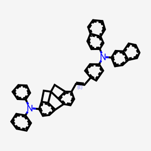 C(=C\c1ccc2c3c1CC31Cc3c(N(c4ccccc4)c4ccccc4)ccc-2c31)/c1ccc(N(c2ccc3ccccc3c2)c2ccc3ccccc3c2)cc1